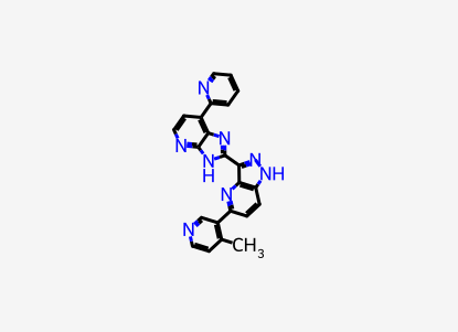 Cc1ccncc1-c1ccc2[nH]nc(-c3nc4c(-c5ccccn5)ccnc4[nH]3)c2n1